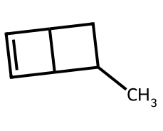 CC1CC2C=CC12